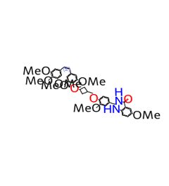 COc1ccc2c(c1)C(=O)NC(c1ccc(OCC3CC(Oc4c(OC)cc(/C=C\c5cc(OC)c(OC)c(OC)c5)cc4OC)C3)c(OC)c1)N2